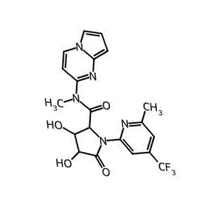 Cc1cc(C(F)(F)F)cc(N2C(=O)C(O)C(O)C2C(=O)N(C)c2ccn3cccc3n2)n1